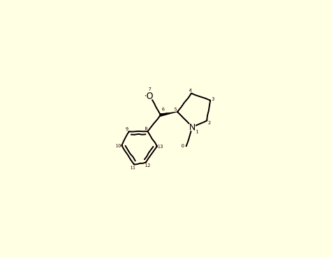 CN1CCC[C@@H]1C([O])c1ccccc1